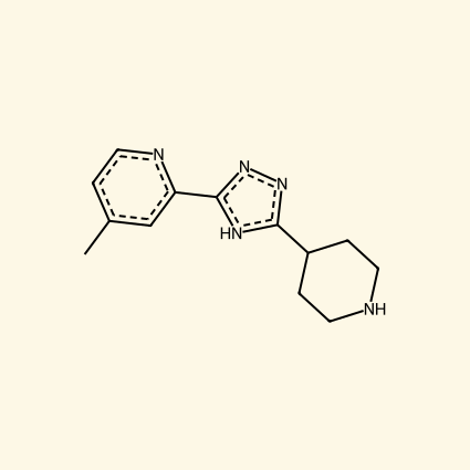 Cc1ccnc(-c2nnc(C3CCNCC3)[nH]2)c1